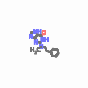 CN(CCc1ccccc1)c1nc2nc[nH]c2c(=O)[nH]1